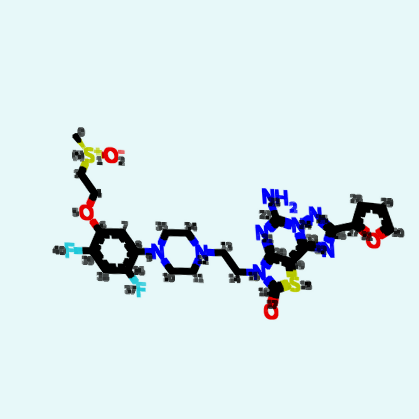 C[S@@+]([O-])CCOc1cc(N2CCN(CCn3c(=O)sc4c3nc(N)n3nc(-c5ccco5)nc43)CC2)c(F)cc1F